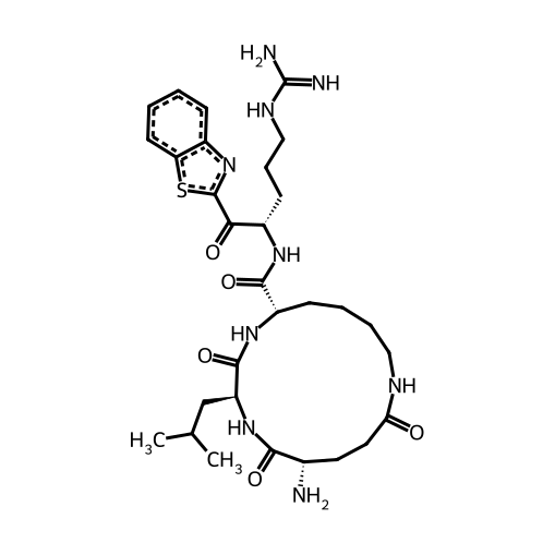 CC(C)C[C@@H]1NC(=O)[C@@H](N)CCC(=O)NCCCC[C@@H](C(=O)N[C@@H](CCCNC(=N)N)C(=O)c2nc3ccccc3s2)NC1=O